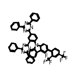 FC(F)(F)c1ccc(-c2ccc3c(c2)c2ccccc2n3-c2ccc(-c3nc(-c4ccccc4)nc(-c4ccccc4)n3)cc2-c2nc(-c3ccccc3)nc(-c3ccccc3)n2)c(C(F)(F)F)c1